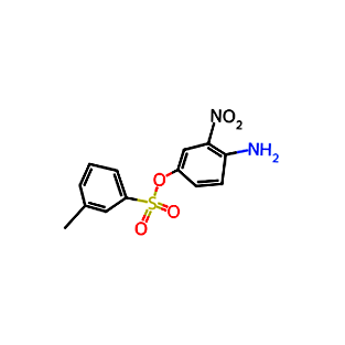 Cc1cccc(S(=O)(=O)Oc2ccc(N)c([N+](=O)[O-])c2)c1